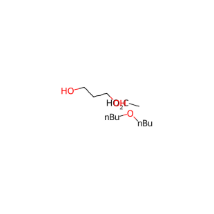 CC(=O)O.CCCCOCCCC.OCCCO